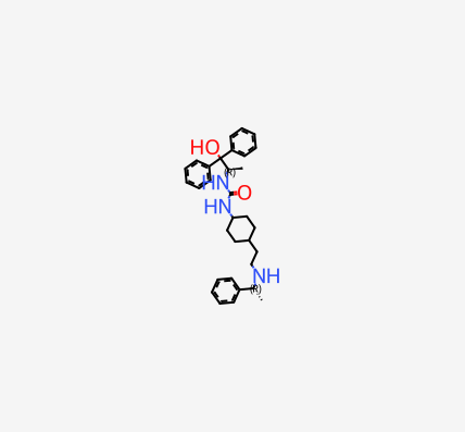 C[C@@H](NCCC1CCC(NC(=O)N[C@H](C)C(O)(c2ccccc2)c2ccccc2)CC1)c1ccccc1